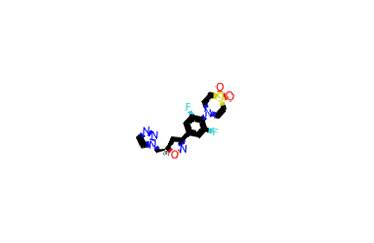 O=S1(=O)CCN(c2c(F)cc(C3=NO[C@@H](Cn4ccnn4)C3)cc2F)CC1